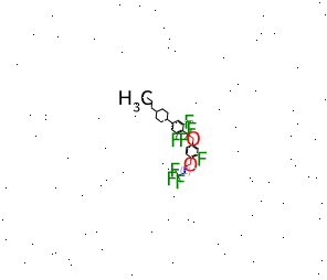 CCCC1CCC(c2cc(F)c(C(F)(F)Oc3ccc(O/C=C/C(F)(F)F)c(F)c3)c(F)c2)CC1